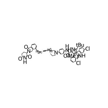 COc1cc(N2CCC[C@]3(C[C@@H]3C#C[C@@H]3C[C@H]3c3cccc4c3CN(C3CCC(=O)NC3=O)C4=O)C2)ccc1NC(=O)[C@@H]1N[C@@H](CC(C)(C)C)[C@@]2(CNc3cc(Cl)ccc32)[C@H]1c1cccc(Cl)c1F